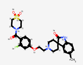 Cc1ccc2c(c1)C1(CCN(CCOc3ccc(C(=O)N4CCS(=O)(=O)CC4)c(F)c3)CC1)C(=O)N2